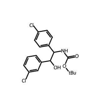 CC(C)(C)OC(=O)NC(c1ccc(Cl)cc1)C(O)c1cccc(Cl)c1